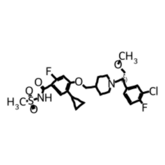 COC[C@H](c1ccc(F)c(Cl)c1)N1CCC(COc2cc(F)c(C(=O)NS(C)(=O)=O)cc2C2CC2)CC1